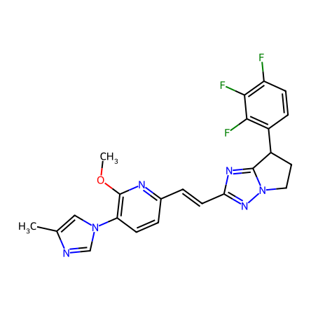 COc1nc(C=Cc2nc3n(n2)CCC3c2ccc(F)c(F)c2F)ccc1-n1cnc(C)c1